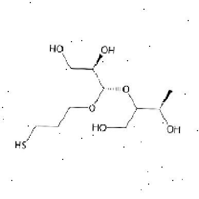 C[C@@H](O)C(CO)O[C@H](OCCCS)[C@H](O)CO